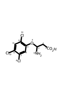 NC(CC(=O)O)Oc1cc(Cl)c(Cl)cc1Cl